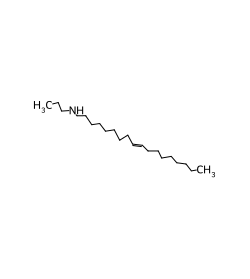 CCCCCCCCC=CCCCCCCCCNCCC